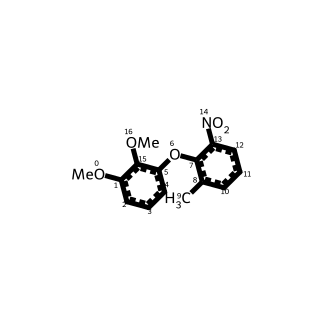 COc1cccc(Oc2c(C)cccc2[N+](=O)[O-])c1OC